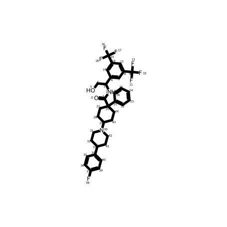 O=C(NC(CO)c1cc(C(F)(F)F)cc(C(F)(F)F)c1)C1(c2ccccc2)CCC(N2CCC(c3ccc(F)cc3)CC2)CC1